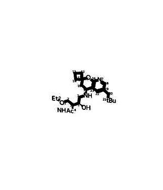 CCOC[C@H](NC(C)=O)[C@@H](O)CN[C@H]1CC2(CCC2)Oc2ncc(CC(C)(C)C)cc21